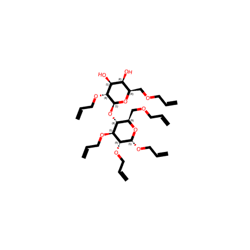 C=CCOC[C@H]1O[C@@H](O[C@H]2[C@H](OCC=C)[C@@H](OCC=C)[C@@H](OCC=C)O[C@@H]2COCC=C)[C@H](OCC=C)[C@@H](O)[C@H]1O